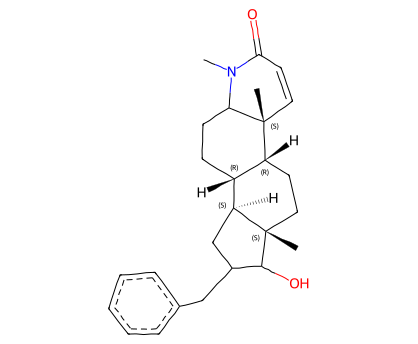 CN1C(=O)C=C[C@@]2(C)C1CC[C@@H]1[C@H]2CC[C@]2(C)C(O)C(Cc3ccccc3)C[C@@H]12